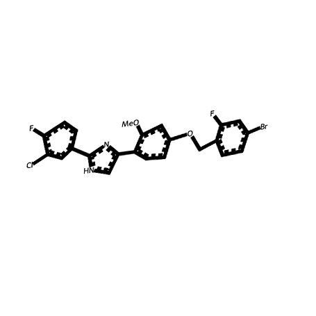 COc1cc(OCc2ccc(Br)cc2F)ccc1-c1c[nH]c(-c2ccc(F)c(Cl)c2)n1